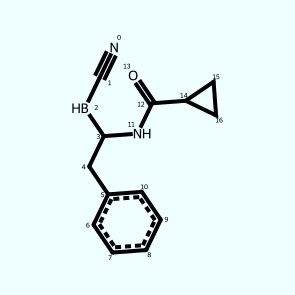 N#CBC(Cc1ccccc1)NC(=O)C1CC1